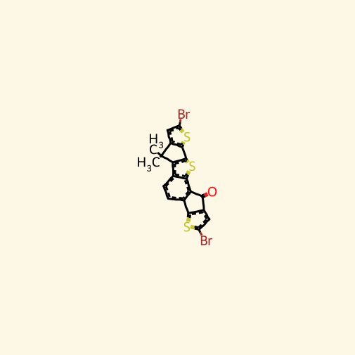 CC1(C)c2cc(Br)sc2-c2sc3c4c(ccc3c21)-c1sc(Br)cc1C4=O